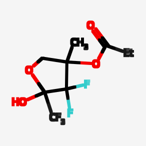 CCC(=O)OC1(C)COC(O)(C(F)(F)F)C1(F)F